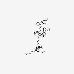 CCCCCC(C)(CCCC)NCCCCCC(=O)NC(CCC(=O)C(C)(CC)CCC)C(=O)O